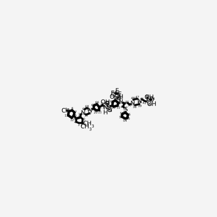 CC1(C)CCC(c2ccc(Cl)cc2)=C(CN2CCN(c3ccc(C(O)NS(=O)(=O)c4ccc(N[C@H](CCN5CCN(CCP(=O)(O)O)CC5)CSc5ccccc5)c(S(=O)(=O)C(F)(F)F)c4)cc3)CC2)C1